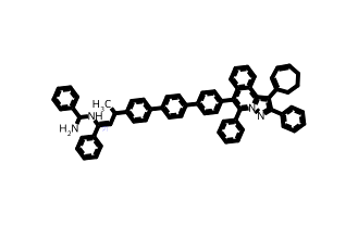 CC(/C=C(\NC(N)c1ccccc1)c1ccccc1)c1ccc(-c2ccc(-c3ccc(-c4c(-c5ccccc5)n5nc(-c6ccccc6)c(C6=CC=CCCC6)c5c5ccccc45)cc3)cc2)cc1